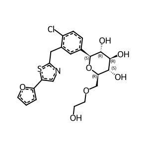 OCCOC[C@H]1O[C@@H](c2ccc(Cl)c(Cc3ncc(-c4ccco4)s3)c2)[C@H](O)[C@@H](O)[C@@H]1O